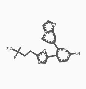 N#Cc1ccc(-c2cnc(CCC(F)(F)C(F)(F)F)o2)c(-c2ccn3ccnc3c2)n1